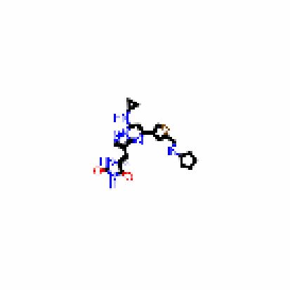 O=C1NC(=O)/C(=C/c2cnn3c(NC4CC4)cc(-c4csc(CNC5CCCC5)c4)nc23)N1